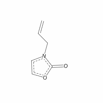 C=CCn1ccoc1=O